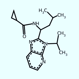 CC(C)CC(NC(=O)C1CC1)c1nc2cccnc2n1C(C)C